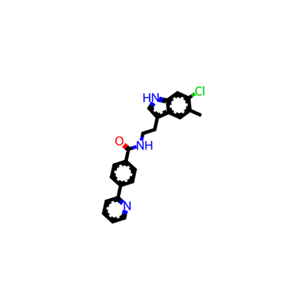 Cc1cc2c(CCNC(=O)c3ccc(-c4ccccn4)cc3)c[nH]c2cc1Cl